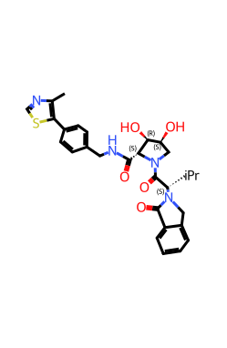 Cc1ncsc1-c1ccc(CNC(=O)[C@@H]2[C@@H](O)[C@@H](O)CN2C(=O)[C@H](C(C)C)N2Cc3ccccc3C2=O)cc1